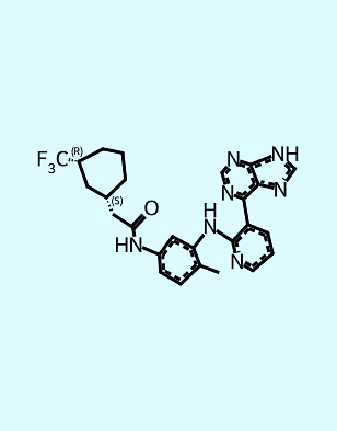 Cc1ccc(NC(=O)C[C@H]2CCC[C@@H](C(F)(F)F)C2)cc1Nc1ncccc1-c1ncnc2[nH]cnc12